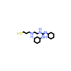 SCCCNCCN/C(=N/C1CCCCC1)NC1CCCCC1